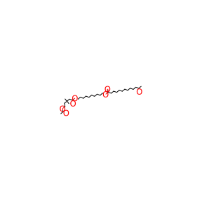 CC(=O)CCCCCCCCCCC(=O)OCCCCCCCCCCOC(=O)CC(C)(C)CCOC(C)=O